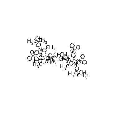 Cc1cc2c3c(c1)N(c1ccc(C(C)(C)C)cc1)c1cc4c(cc1B3c1oc3c(c1C2c1ccc(C(C)(C)CCC(C)(C)c2ccc(N5c6cc7c(cc6B6C8=C(OC(c9ccccc9)(c9ccccc9)C8)N(c8ccc(C(C)(C)C)cc8)c8cc(C)cc5c86)CC(c5ccccc5)(c5ccccc5)O7)cc2)cc1)C(C)(C)CCC3(C)C)C1(CO4)c2ccccc2-c2ccccc21